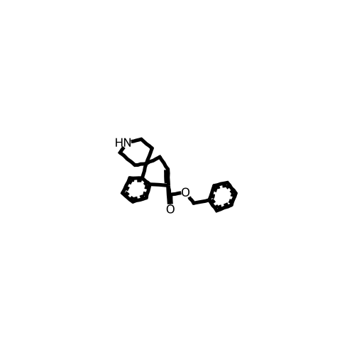 O=C(OCc1ccccc1)C1=CCC2(CCNCC2)c2ccccc21